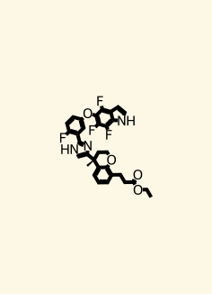 CCOC(=O)CCc1cccc2c1OCC[C@@]2(C)c1c[nH]c(-c2cc(Oc3c(F)c(F)c4[nH]ccc4c3F)ccc2F)n1